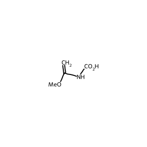 C=C(NC(=O)O)OC